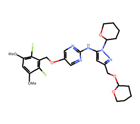 COc1cc(OC)c(F)c(COc2cnc(Nc3cc(COC4CCCCO4)nn3C3CCCCO3)nc2)c1F